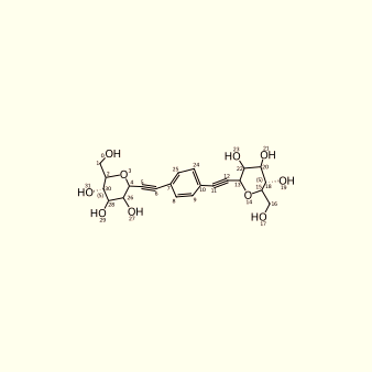 OCC1OC(C#Cc2ccc(C#CC3OC(CO)[C@@H](O)C(O)C3O)cc2)C(O)C(O)[C@@H]1O